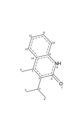 Cc1c(C(C)C)c(=O)[nH]c2ccccc12